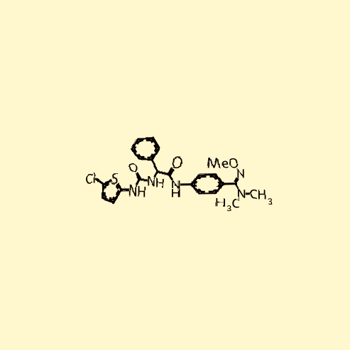 CO/N=C(\c1ccc(NC(=O)C(NC(=O)Nc2ccc(Cl)s2)c2ccccc2)cc1)N(C)C